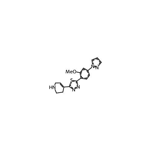 COc1cc(-n2cccn2)ccc1-c1nnc(C2=CCNCC2)s1